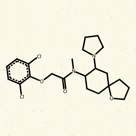 CN(C(=O)COc1c(Cl)cccc1Cl)C1CCC2(CCCO2)CC1N1CCCC1